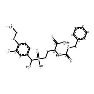 CCOC(=O)COc1ccc(C(O)P(=O)(O)CCC(NC(=O)OCc2ccccc2)C(=O)OC)cc1C(F)(F)F